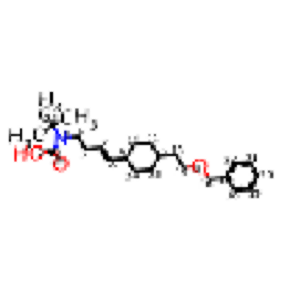 CC(C)(C)N(CCC=CC1CCC(CCOCc2ccccc2)CC1)C(=O)O